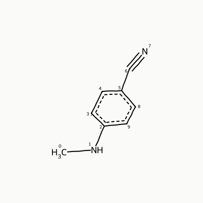 CNc1[c]cc(C#N)cc1